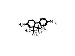 CC(C)(C)C1(C(C)(C)C)C=C(N)C=CC1c1ccc(N)cc1